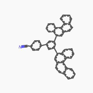 N#Cc1ccc(-c2cc(-c3cc4ccc5ccccc5c4c4ccccc34)cc(-c3cc4ccc5ccccc5c4c4ccccc34)c2)cc1